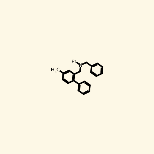 CCN(Cc1ccccc1)Cc1cc(C)ccc1-c1ccccc1